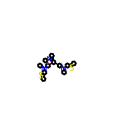 c1ccc(N(c2ccc(-c3cc(-c4ccc(N(c5ccccc5)c5ccc6c(c5)sc5ccccc56)cc4)c4c(c3)c3ccccc3n4-c3ccccc3)cc2)c2ccc3c(c2)sc2ccccc23)cc1